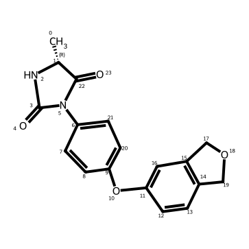 C[C@H]1NC(=O)N(c2ccc(Oc3ccc4c(c3)COC4)cc2)C1=O